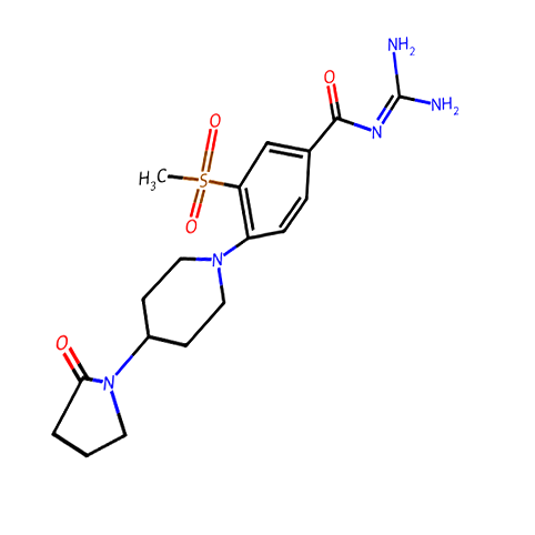 CS(=O)(=O)c1cc(C(=O)N=C(N)N)ccc1N1CCC(N2CCCC2=O)CC1